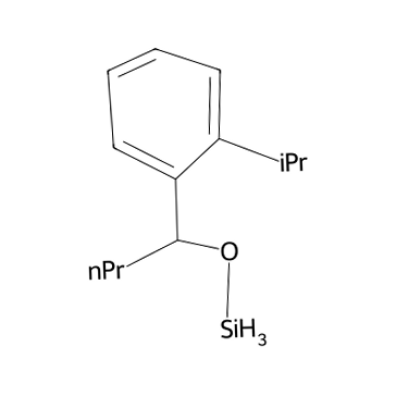 CCCC(O[SiH3])c1ccccc1C(C)C